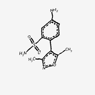 Cc1noc(C)c1-c1ccc(N)cc1S(N)(=O)=O